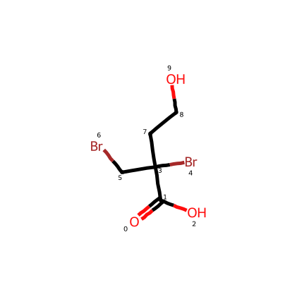 O=C(O)C(Br)(CBr)CCO